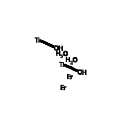 O.O.[Er].[Er].[OH][Ti].[OH][Ti]